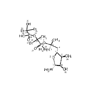 B[C@@H]1O[C@H](C[C@@](C)(CC)OP(B)(=O)C(C)(CC)OP(=O)(O)C(O)(CC)CC)[C@@H](O)[C@H]1O